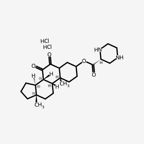 C[C@@]12CCC[C@H]1[C@@H]1C(=O)C(=O)C3CC(OC(=O)[C@H]4CNCCN4)CC[C@]3(C)[C@@H]1CC2.Cl.Cl